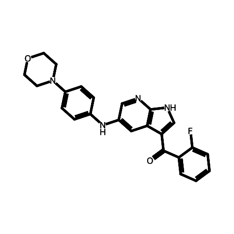 O=C(c1ccccc1F)c1c[nH]c2ncc(Nc3ccc(N4CCOCC4)cc3)cc12